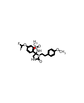 COc1ccc(CCN2C(=O)NCC2(NS(C)(=O)=O)c2ccc(OC(F)F)cc2)cc1